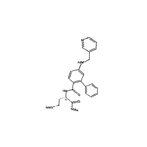 CNC(=O)[C@H](CCSC)NC(=O)c1ccc(NCc2cccnc2)cc1-c1ccccc1